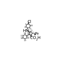 CC(C)c1cn(Nc2ccc(Cl)cc2)c(-c2ccccc2)c1C(=O)O